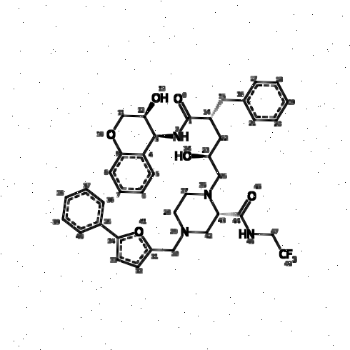 O=C(N[C@H]1c2ccccc2OC[C@H]1O)[C@H](Cc1ccccc1)C[C@H](O)CN1CCN(Cc2ccc(-c3ccccc3)o2)C[C@H]1C(=O)NCC(F)(F)F